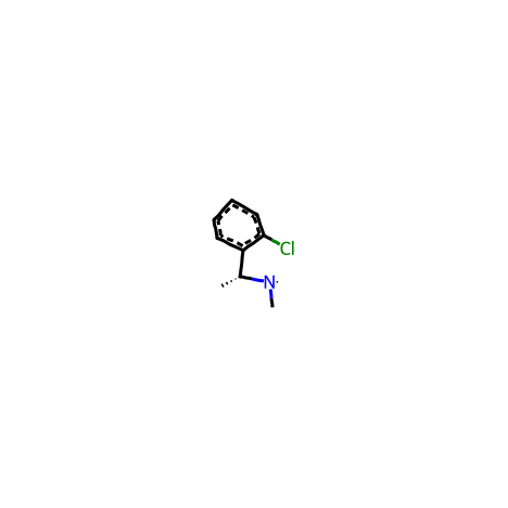 C[N][C@H](C)c1ccccc1Cl